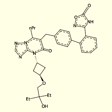 CCCc1c(Cc2ccc(-c3ccccc3-c3noc(=O)[nH]3)cc2)c(=O)n([C@H]2C[C@H](OCC(O)(CC)CC)C2)c2ncnn12